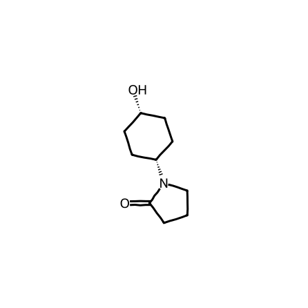 O=C1CCCN1[C@H]1CC[C@@H](O)CC1